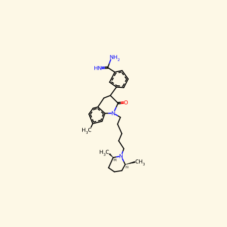 Cc1ccc2c(c1)N(CCCCCN1[C@H](C)CCC[C@@H]1C)C(=O)C(c1cccc(C(=N)N)c1)C2